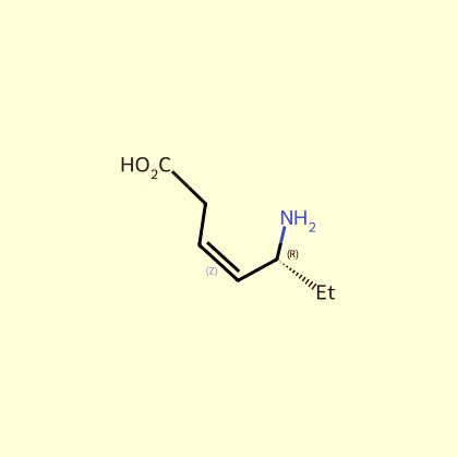 CC[C@@H](N)/C=C\CC(=O)O